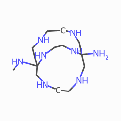 CNC12CNCCNCC(N)(CNCCNC1)NCCN2